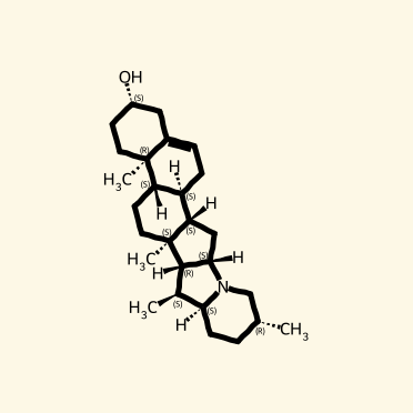 C[C@@H]1CC[C@H]2[C@@H](C)[C@H]3[C@H](C[C@H]4[C@@H]5CC=C6C[C@@H](O)CC[C@]6(C)[C@H]5CC[C@]34C)N2C1